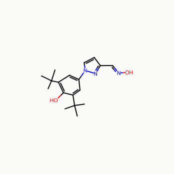 CC(C)(C)c1cc(-n2ccc(C=NO)n2)cc(C(C)(C)C)c1O